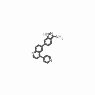 Nc1n[nH]c2cc(-c3ccc4nccc(-c5ccncc5)c4c3)ccc12